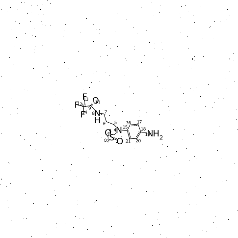 CS(=O)(=O)N(CCCNC(=O)C(F)(F)F)c1ccc(N)cc1